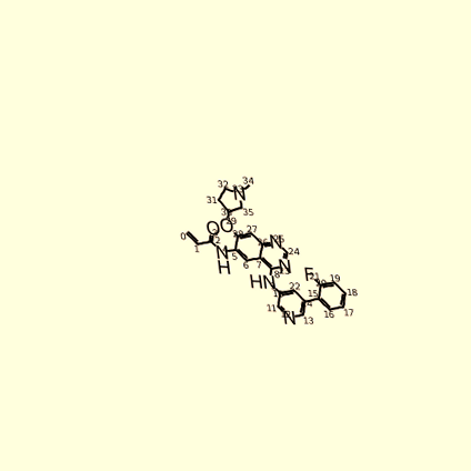 C=CC(=O)Nc1cc2c(Nc3cncc(-c4ccccc4F)c3)ncnc2cc1OC1CCN(C)C1